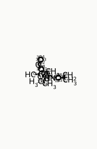 C#CC(OC(=O)C(SC(CNc1ccc(C(=C)C)cc1)OC)C(C)C)c1cccc(Oc2ccccc2)c1